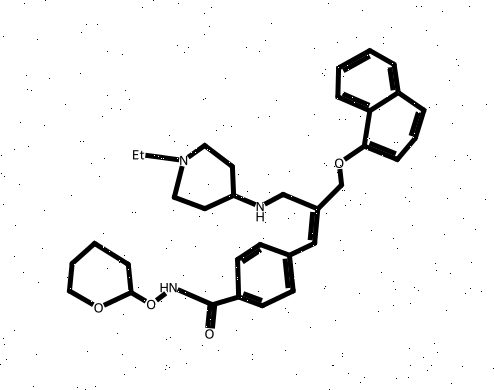 CCN1CCC(NC/C(=C\c2ccc(C(=O)NOC3CCCCO3)cc2)COc2cccc3ccccc23)CC1